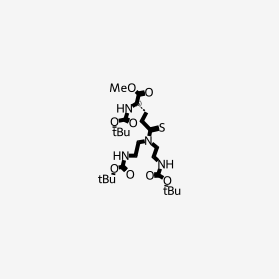 COC(=O)[C@H](CCC(=S)N(CCNC(=O)OC(C)(C)C)CCNC(=O)OC(C)(C)C)NC(=O)OC(C)(C)C